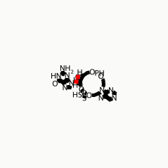 Nc1nc2c(ncn2[C@@H]2O[C@@H]3COPOCCn4c(nc5cncnc54)COP(=S)(S)O[C@@H]2[C@@H]3F)c(=O)[nH]1